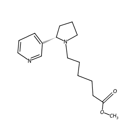 COC(=O)CCCCCN1CCC[C@H]1c1cccnc1